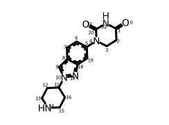 O=C1CCN(c2ccc3cn(C4CCNCC4)nc3c2)C(=O)N1